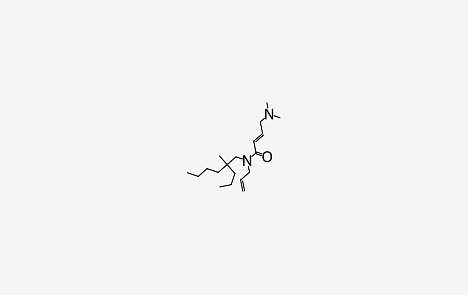 C=CCN(CC(C)(CCC)CCCC)C(=O)/C=C/CN(C)C